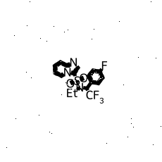 CCN(C(c1ccc(F)cc1)C(F)(F)F)S(=O)(=O)c1cnc2ccccn12